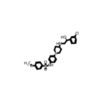 COc1ccc(S(=O)(=O)Nc2ccc(N3CCC(NC[C@@H](O)c4cccc(Cl)c4)CC3)cc2)cc1